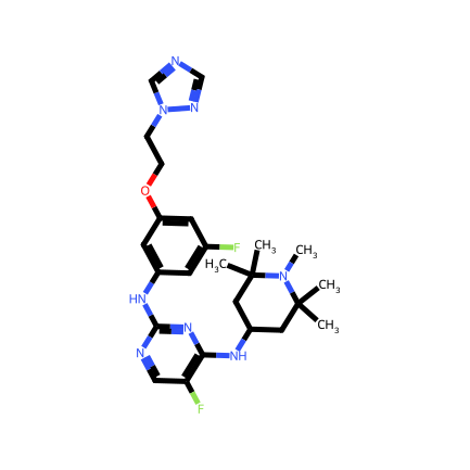 CN1C(C)(C)CC(Nc2nc(Nc3cc(F)cc(OCCn4cncn4)c3)ncc2F)CC1(C)C